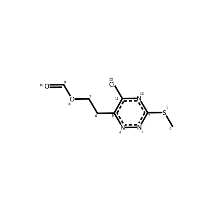 CSc1nnc(CCOC=O)c(Cl)n1